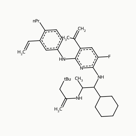 C=Cc1cc(Nc2nc(NC(C3CCCCC3)C(C)NC(=C)CC(C)(C)C)c(F)cc2C(=C)C)ccc1CCC